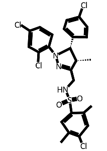 Cc1cc(S(=O)(=O)NCC2=NN(c3ccc(Cl)cc3Cl)[C@H](c3ccc(Cl)cc3)[C@@H]2C)c(C)cc1Cl